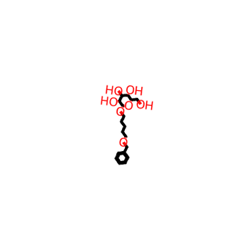 OCC1OC(OCCCCCOCc2ccccc2)C(O)C(O)C1O